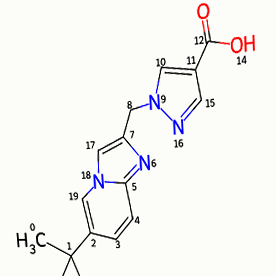 CC1(c2ccc3nc(Cn4cc(C(=O)O)cn4)cn3c2)CC1